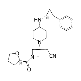 N#CCC1(N2CCC(N[C@@H]3CC3c3ccccc3)CC2)CN(C(=O)[C@H]2CCCO2)C1